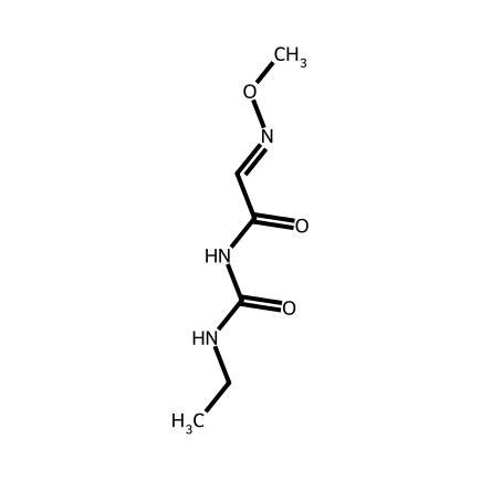 CCNC(=O)NC(=O)/C=N/OC